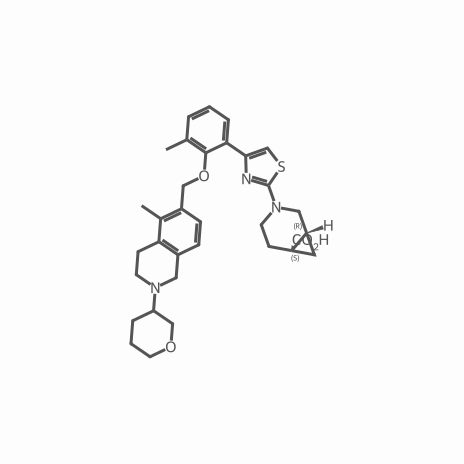 Cc1cccc(-c2csc(N3CC[C@@]4(C(=O)O)C[C@H]4C3)n2)c1OCc1ccc2c(c1C)CCN(C1CCCOC1)C2